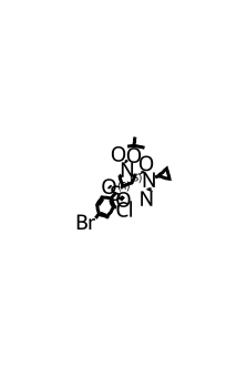 CC(C)(C)OC(=O)N1C[C@H](S(=O)(=O)c2ccc(Br)cc2Cl)C[C@H]1C(=O)N(C#N)C1CC1